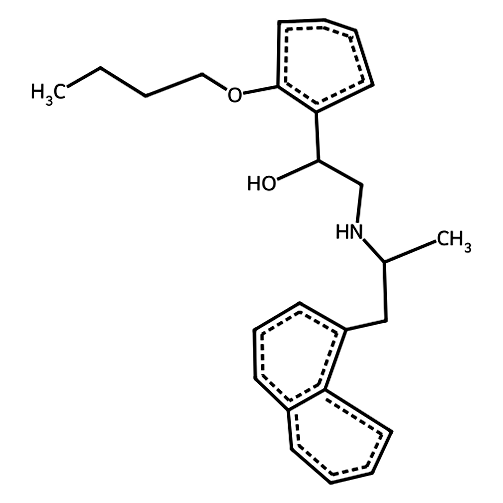 CCCCOc1ccccc1C(O)CNC(C)Cc1cccc2ccccc12